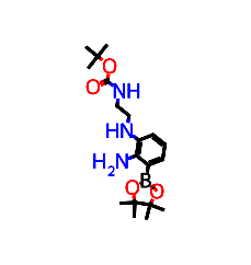 CC(C)(C)OC(=O)NCCNc1cccc(B2OC(C)(C)C(C)(C)O2)c1N